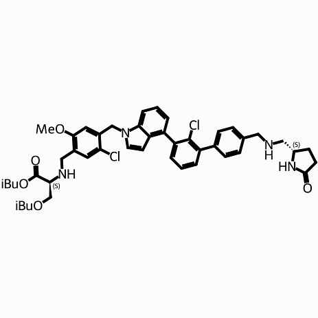 COc1cc(Cn2ccc3c(-c4cccc(-c5ccc(CNC[C@@H]6CCC(=O)N6)cc5)c4Cl)cccc32)c(Cl)cc1CN[C@@H](COCC(C)C)C(=O)OCC(C)C